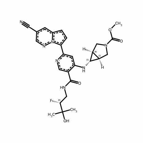 COC(=O)N1C[C@@H]2[C@H](C1)[C@H]2Nc1cc(-c2ccc3cc(C#N)cnn23)ncc1C(=O)NC[C@@H](F)C(C)(C)O